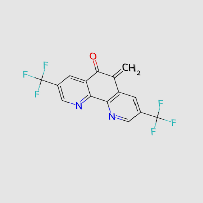 C=C1C(=O)c2cc(C(F)(F)F)cnc2-c2ncc(C(F)(F)F)cc21